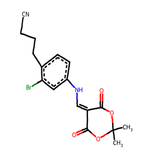 CC1(C)OC(=O)C(=CNc2ccc(CCCC#N)c(Br)c2)C(=O)O1